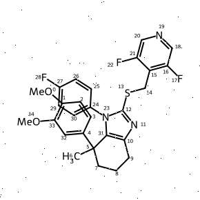 COc1ccc(C2(C)CCCc3nc(SCc4c(F)cncc4F)n(-c4ccc(F)cc4)c32)cc1OC